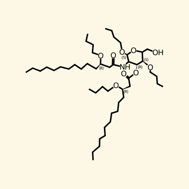 CCCCCCCCCCC[C@H](CC(=O)NC1[C@@H](OCCCC)OC(CO)[C@@H](OCCCC)[C@@H]1OC(=O)C[C@@H](CCCCCCCCCCC)OCCCC)OCCCC